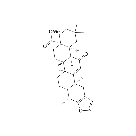 COC(=O)[C@]12CCC(C)(C)C[C@H]1[C@H]1C(=O)C=C3[C@@]4(C)Cc5cnoc5[C@H](C)C4CC[C@@]3(C)[C@]1(C)CC2